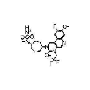 COc1cc2ncc3c(c2cc1F)CN(C1CCCC(NS(N)(=O)=O)CC1)C(=O)N3CC(F)(F)F